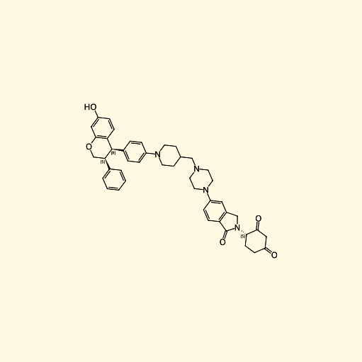 O=C1CC[C@H](N2Cc3cc(N4CCN(CC5CCN(c6ccc([C@@H]7c8ccc(O)cc8OC[C@@H]7c7ccccc7)cc6)CC5)CC4)ccc3C2=O)C(=O)C1